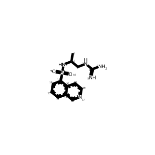 CC(CNC(=N)N)NS(=O)(=O)c1cccc2cnccc12